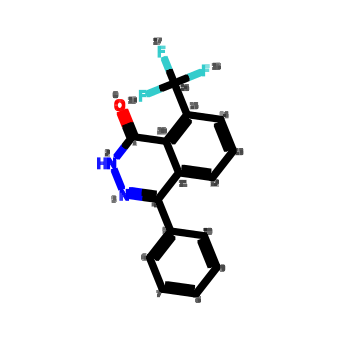 O=c1[nH]nc(-c2ccccc2)c2cccc(C(F)(F)F)c12